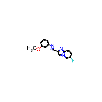 COc1cccc(/N=C/c2cn3cc(F)ccc3n2)c1